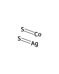 [S]=[Ag].[S]=[Co]